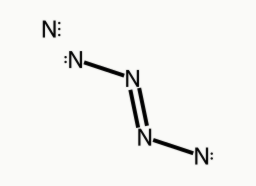 [N].[N]N=N[N]